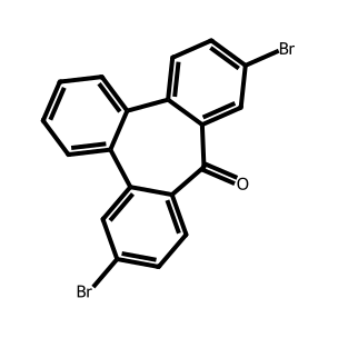 O=c1c2cc(Br)ccc2c2ccccc2c2cc(Br)ccc12